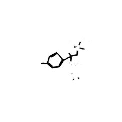 CCCCCCCCc1ccc(C(C)(C[N+](C)(C)C)NC)cc1.[O-][Cl+3]([O-])([O-])[O-]